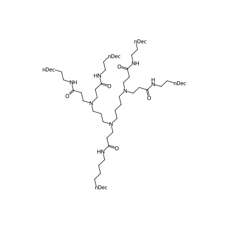 CCCCCCCCCCCCCCNC(=O)CCN(CCCCN(CCC(=O)NCCCCCCCCCCCC)CCC(=O)NCCCCCCCCCCCC)CCCN(CCC(=O)NCCCCCCCCCCCC)CCC(=O)NCCCCCCCCCCCC